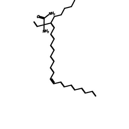 CCCCCCCC/C=C\CCCCCCCCCC(CCCCC)C(N)(CC)C(N)=O